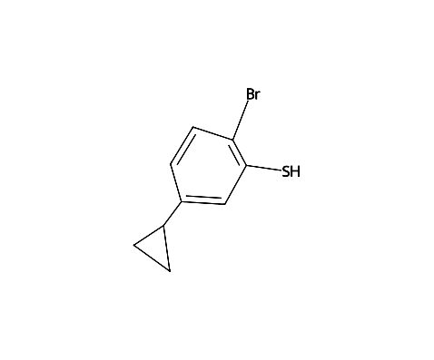 Sc1cc(C2CC2)ccc1Br